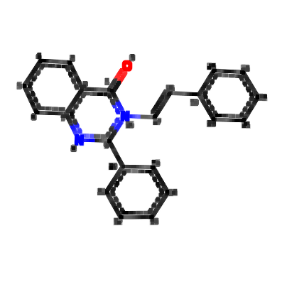 O=c1c2ccccc2nc(-c2ccccc2)n1C=Cc1ccccc1